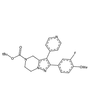 COc1ccc(-c2nn3c(c2-c2ccncc2)CN(C(=O)OC(C)(C)C)CC3)cc1F